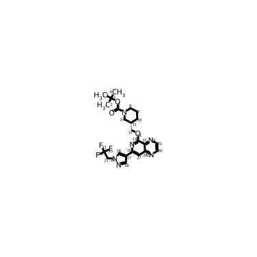 CC(C)(C)OC(=O)N1CCC[C@H](COc2nc(-c3cnn(CC(F)(F)F)c3)cc3nccnc23)C1